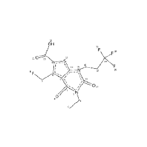 CCn1c(=O)c2c(CF)c(C(=O)O)sc2n(CCC(F)(F)F)c1=O